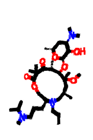 CCCN1C[C@H](C)C[C@@](C)(OC)[C@H](O[C@@H]2O[C@H](C)C[C@H](N(C)C)[C@H]2O)[C@@H](C)C(=O)C(C)(C)C(=O)OC[C@@H]1CCCN(C)C(C)C